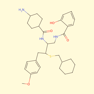 COc1ccc(CC(SCC2CCCCC2)C(CNC(=O)c2ccccc2O)NC(=O)C2CCC(N)CC2)cc1